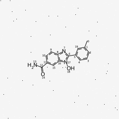 Cc1cccc(-c2nc3ccc(C(N)=O)cc3n2O)c1